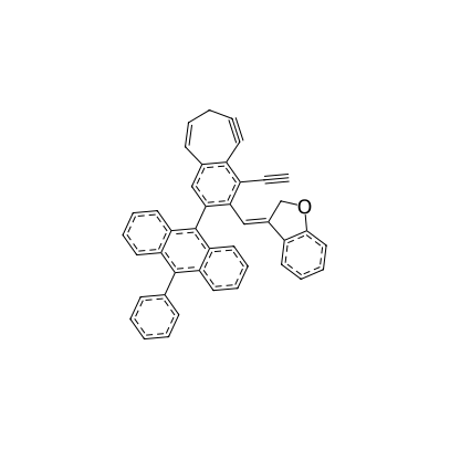 C#Cc1c2c(cc(-c3c4ccccc4c(-c4ccccc4)c4ccccc34)c1/C=C1\COc3ccccc31)C=CCC#C2